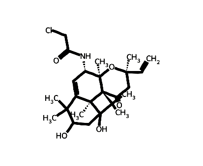 C=C[C@@]1(C)CC(=O)[C@@]23C(C)(C)C4(O)CC(O)C(C)(C)C(=C[C@H](NC(=O)CCl)[C@@]2(C)O1)[C@]43C